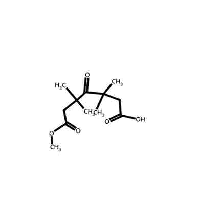 COC(=O)CC(C)(C)C(=O)C(C)(C)CC(=O)O